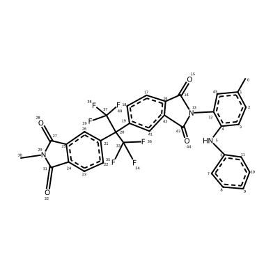 Cc1ccc(Nc2ccccc2)c(N2C(=O)c3ccc(C(c4ccc5c(c4)C(=O)N(C)C5=O)(C(F)(F)F)C(F)(F)F)cc3C2=O)c1